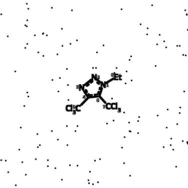 CCn1nnc(C(Cl)(Cl)Cl)c1C(Cl)(Cl)Cl